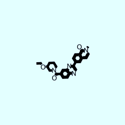 CCO[C@@H]1CCCN(C(=O)c2ccc3ncc(-c4ccc5c(=O)n(C)ccc5c4)nc3c2)C1